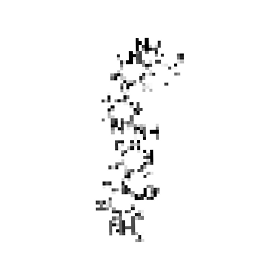 CC(C)c1cnn2ccc(-c3ccnc(Nc4ccc(N5CCC(N)CC5=O)cn4)n3)cc12